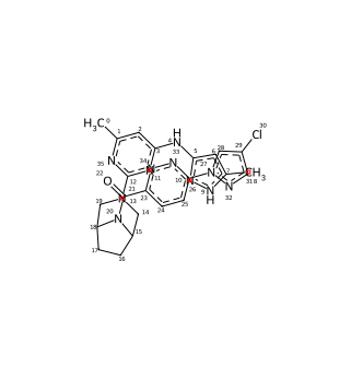 Cc1cc(Nc2cc(C)[nH]n2)nc(N2CC3CCC(C2)N3C(=O)c2ccc(-n3cc(Cl)cn3)nn2)n1